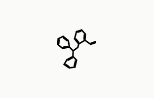 C=Cc1ccccc1CC(c1ccccc1)c1ccccc1